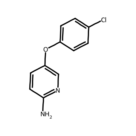 Nc1ccc(Oc2ccc(Cl)cc2)cn1